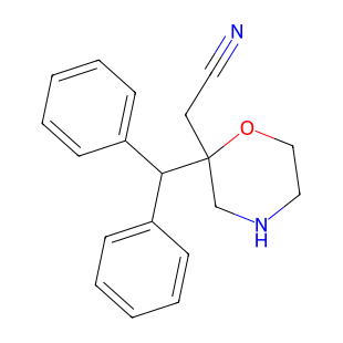 N#CCC1(C(c2ccccc2)c2ccccc2)CNCCO1